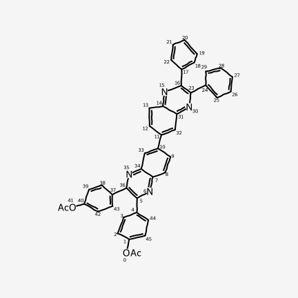 CC(=O)Oc1ccc(-c2nc3ccc(-c4ccc5nc(-c6ccccc6)c(-c6ccccc6)nc5c4)cc3nc2-c2ccc(OC(C)=O)cc2)cc1